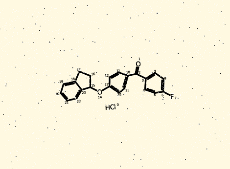 Cl.O=C(c1ccc(F)cc1)c1ccc(OC2CCc3ccccc32)cc1